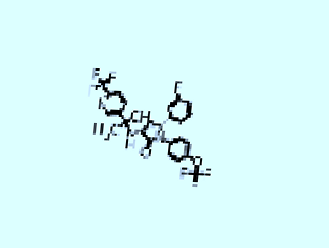 CC(C)(N[C@H]1C[C@H](c2cccc(F)c2)N(c2ccc(OC(F)(F)F)cc2)C1=O)c1ccc(C(F)(F)F)nc1